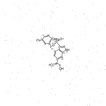 C=C(CO)c1ccc2c(S(=O)(=O)Nc3ccc(Cl)cc3F)c[nH]c2n1